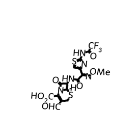 CO/N=C(/C(=O)NC1C(=O)N2C(C(=O)O)=C(C=O)CS[C@H]12)c1csc(NC(=O)C(F)(F)F)n1